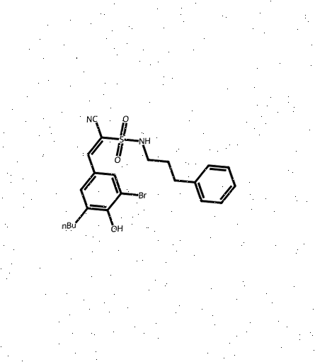 CCCCc1cc(/C=C(/C#N)S(=O)(=O)NCCCc2ccccc2)cc(Br)c1O